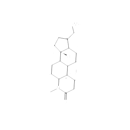 COCC1CC[C@H]2[C@@H]3CCC4N(C)C(=O)CC[C@]4(C)[C@@H]3CC[C@]12C